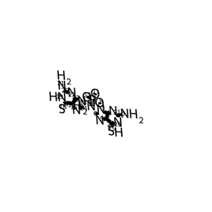 Nc1nc2c(ncn2OP(N)(=O)On2cnc3c(=S)[nH]c(N)nc32)c(=S)[nH]1